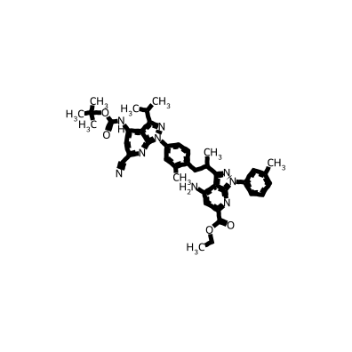 CCOC(=O)c1cc(N)c2c(C(C)Cc3ccc(-n4nc(C(C)C)c5c(NC(=O)OC(C)(C)C)cc(C#N)nc54)cc3C)nn(-c3cccc(C)c3)c2n1